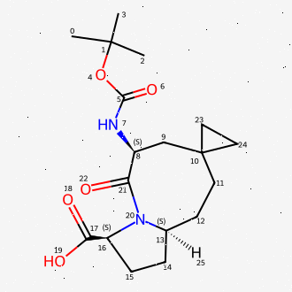 CC(C)(C)OC(=O)N[C@H]1CC2(CC[C@H]3CC[C@@H](C(=O)O)N3C1=O)CC2